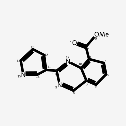 COC(=O)c1cccc2cnc(-c3cccnc3)nc12